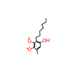 CCCCCCCc1c(O)cc(C)c(OC)c1OC